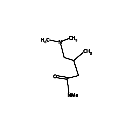 CNC(=O)CC(C)CN(C)C